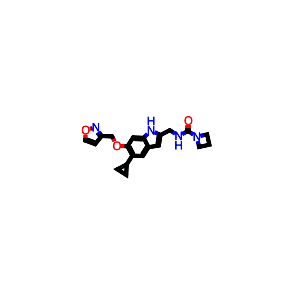 O=C(NCc1cc2cc(C3CC3)c(OCc3ccon3)cc2[nH]1)N1CCC1